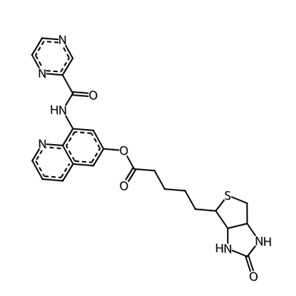 O=C1NC2CSC(CCCCC(=O)Oc3cc(NC(=O)c4cnccn4)c4ncccc4c3)C2N1